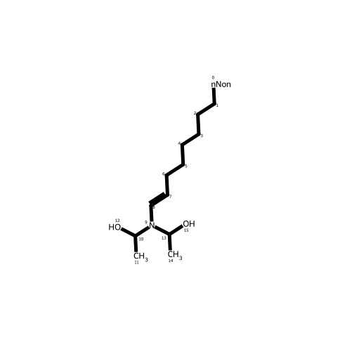 CCCCCCCCCCCCCCCC=CN(C(C)O)C(C)O